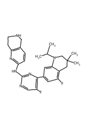 CC(C)N1CC(C)(C)Cc2c(F)cc(-c3nc(Nc4ccc5c(n4)CCNC5)ncc3F)cc21